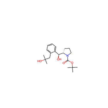 CC(C)(O)Cc1ccccc1[C@H](O)[C@@H]1CCCN1C(=O)OC(C)(C)C